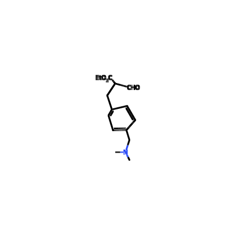 CCOC(=O)C(C=O)Cc1ccc(CN(C)C)cc1